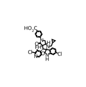 O=C(O)c1ccc(N2C[C@H]3[C@@H](C2=O)[C@H](c2ccnc(Cl)c2F)[C@]2(C(=O)Nc4cc(Cl)ccc42)N3CC2CC2)cc1